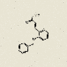 COC(=O)C=Cc1ncccc1OCc1ccccc1